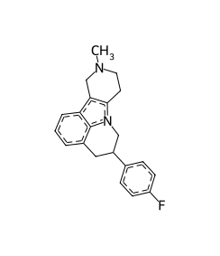 CN1CCc2c(c3cccc4c3n2CC(c2ccc(F)cc2)C4)C1